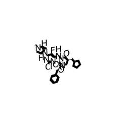 CN1C[C@@H]2C[C@H]1CN2c1nc(Cl)nc(NNC(=O)[C@H](CC2CCCC2)CN(C=O)OCc2ccccc2)c1F